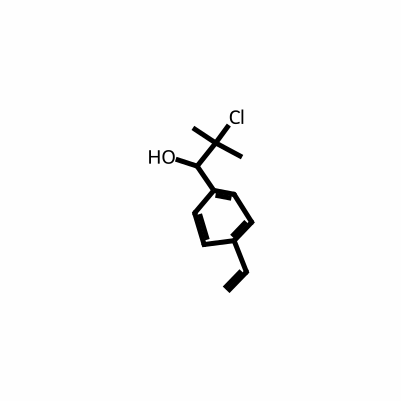 C=Cc1ccc(C(O)C(C)(C)Cl)cc1